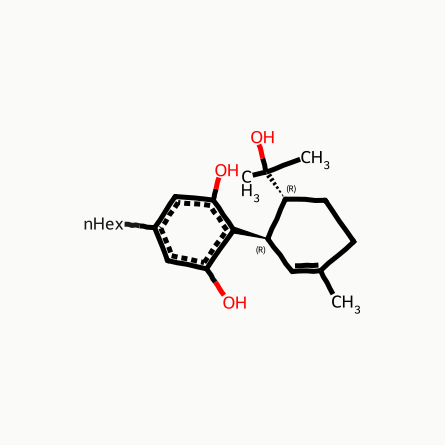 CCCCCCc1cc(O)c([C@@H]2C=C(C)CC[C@H]2C(C)(C)O)c(O)c1